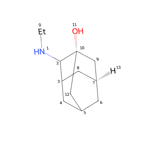 CCNC1C2CC3C[C@@H](C2)C[C@@]1(O)C3